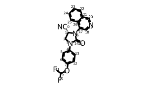 N#C[C@H]1CN(c2ccc(OC(F)F)cc2)C(=O)N1c1cncc2ccccc12